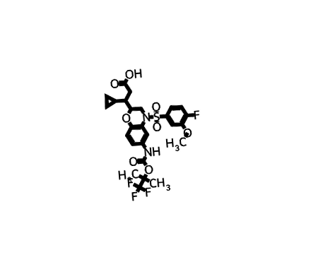 COc1cc(S(=O)(=O)N2CC(C(CC(=O)O)C3CC3)Oc3ccc(NC(=O)OC(C)(C)C(F)(F)F)cc32)ccc1F